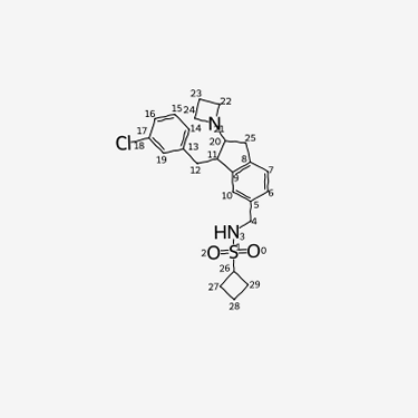 O=S(=O)(NCc1ccc2c(c1)C(Cc1cccc(Cl)c1)C(N1CCC1)C2)C1CCC1